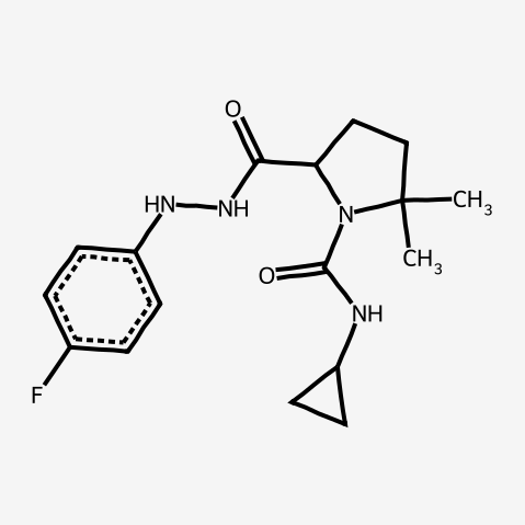 CC1(C)CCC(C(=O)NNc2ccc(F)cc2)N1C(=O)NC1CC1